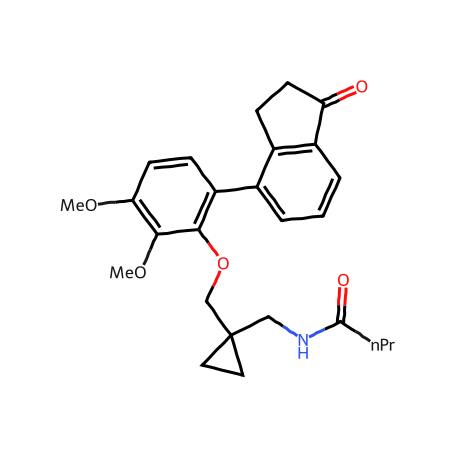 CCCC(=O)NCC1(COc2c(-c3cccc4c3CCC4=O)ccc(OC)c2OC)CC1